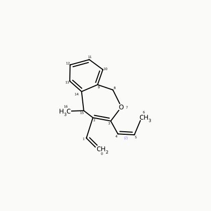 C=CC1=C(/C=C\C)OCc2ccccc2C1C